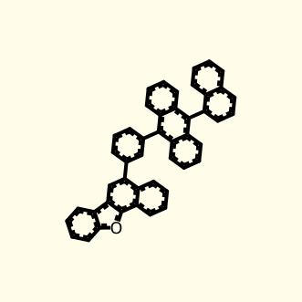 c1cc(-c2c3ccccc3c(-c3cccc4ccccc34)c3ccccc23)cc(-c2cc3c4ccccc4oc3c3ccccc23)c1